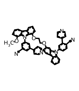 COc1cccc2c3cccc(OCCOc4ccc5c6ccccc6n(-c6ccc(C#N)c(-c7ccncc7)c6)c5c4)c3n(-c3cc(C#N)cc(-c4ccncc4)c3)c12